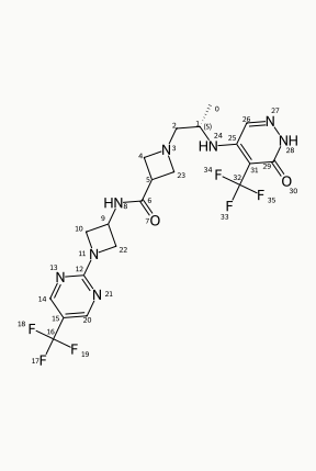 C[C@@H](CN1CC(C(=O)NC2CN(c3ncc(C(F)(F)F)cn3)C2)C1)Nc1cn[nH]c(=O)c1C(F)(F)F